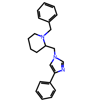 c1ccc(CN2CCCCC2Cn2cnc(-c3ccccc3)c2)cc1